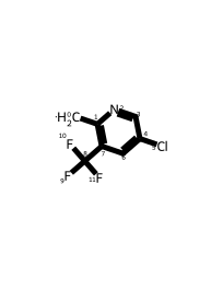 [CH2]c1ncc(Cl)cc1C(F)(F)F